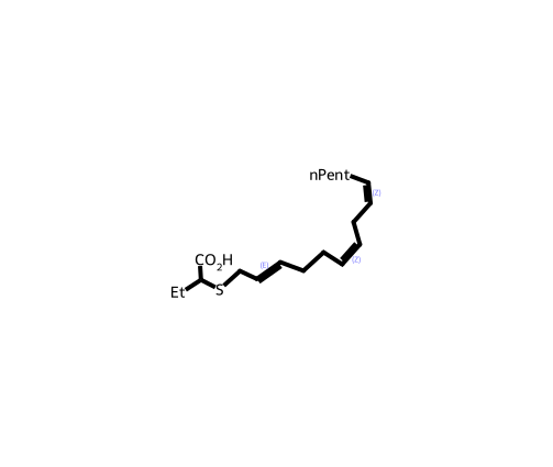 CCCCC/C=C\C/C=C\CC/C=C/CSC(CC)C(=O)O